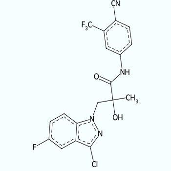 CC(O)(Cn1nc(Cl)c2cc(F)ccc21)C(=O)Nc1ccc(C#N)c(C(F)(F)F)c1